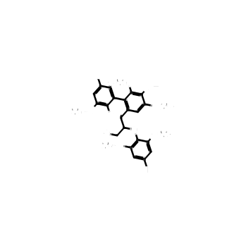 COc1cc(I)cc(-c2c(CC(CO)Oc3c(OC)cc(I)cc3OC)cc(OC)c(O)c2OC)c1O